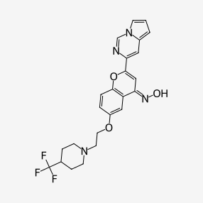 O/N=c1\cc(-c2cc3cccn3cn2)oc2ccc(OCCN3CCC(C(F)(F)F)CC3)cc12